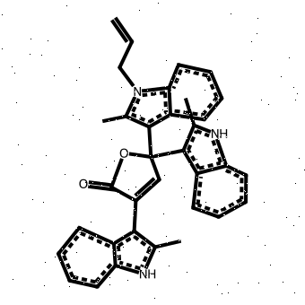 C=CCn1c(C)c(C2(c3c(C)[nH]c4ccccc34)C=C(c3c(C)[nH]c4ccccc34)C(=O)O2)c2ccccc21